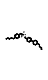 C=CCCC1CCC(c2ccc(COC(F)(F)Cc3ccc(CCC=CC)cc3)cc2)CC1